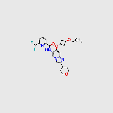 CCO[C@H]1C[C@H](Oc2cc3nc(C4CCOCC4)cn3cc2NC(=O)c2cccc(C(F)F)n2)C1